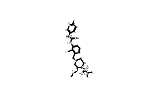 COC[C@H]1CN(Cc2cccc(NC(=O)Nc3ccc(C)nc3)c2F)CCN1S(=O)(=O)N(C)C